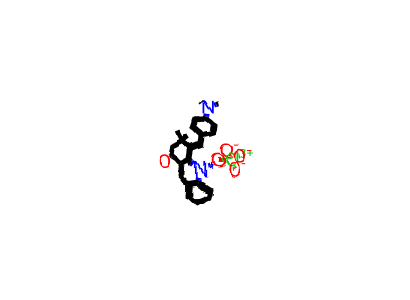 CN(C)c1ccc(/C=C2/c3c(cc4ccccc4[n+]3C)C(=O)CC2(C)C)cc1.[O-][Cl+3]([O-])([O-])[O-]